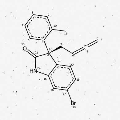 C=C=CC[C@]1(c2ccccc2C)C(=O)Nc2cc(Br)ccc21